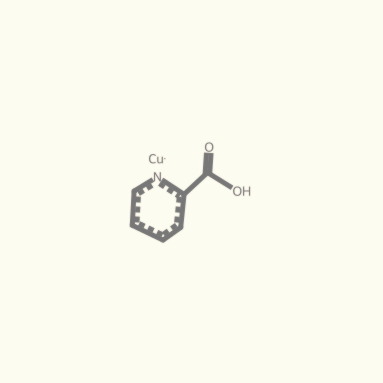 O=C(O)c1ccccn1.[Cu]